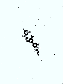 CCCC(=O)Nc1ccc(-c2cc(C(C)C)c3nc(N[C@@H]4CNC[C@@H](F)C4)ncc3n2)cc1F